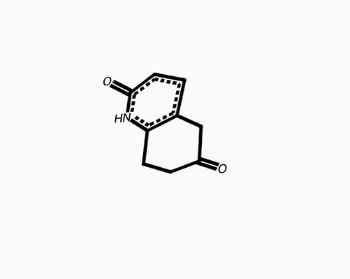 O=C1CCc2[nH]c(=O)ccc2C1